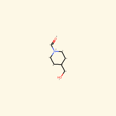 O=CN1CCC(CO)CC1